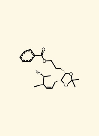 [3H][C@@H](C)[C@H](C)/C=C\C[C@H]1OC(C)(C)O[C@H]1CCCOC(=O)c1ccccc1